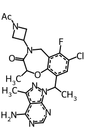 CC(=O)N1CC(N2Cc3c(F)c(Cl)cc(C(C)n4nc(C)c5c(N)ncnc54)c3OC(C)C2=O)C1